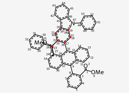 COC(=O)c1ccccc1-c1c2ccccc2c(-c2ccccc2C(=O)OC)c2c(N(c3ccccc3)c3ccc4c(c3)c3ccccc3n4-c3ccccc3)cccc12